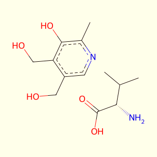 CC(C)[C@H](N)C(=O)O.Cc1ncc(CO)c(CO)c1O